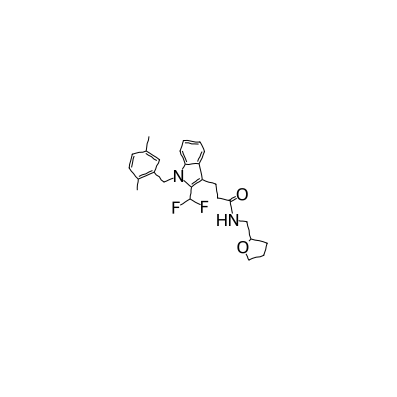 Cc1ccc(C)c(Cn2c(C(F)F)c(CCC(=O)NCC3CCCO3)c3ccccc32)c1